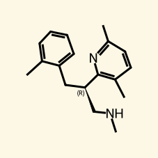 CNC[C@@H](Cc1ccccc1C)c1nc(C)ccc1C